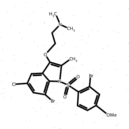 COc1ccc(S(=O)(=O)n2c(C)c(OCCN(C)C)c3cc(Cl)cc(Br)c32)c(Br)c1